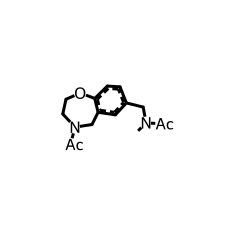 CC(=O)N(C)Cc1ccc2c(c1)CN(C(C)=O)CCO2